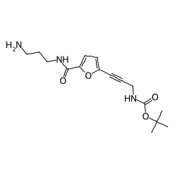 CC(C)(C)OC(=O)NCC#Cc1ccc(C(=O)NCCCN)o1